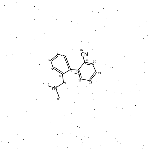 CN(C)Cc1ccccc1-c1ccccc1C#N